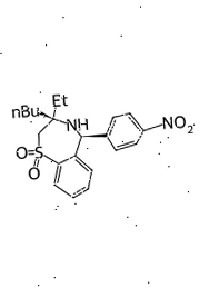 CCCC[C@]1(CC)CS(=O)(=O)c2ccccc2[C@H](c2ccc([N+](=O)[O-])cc2)N1